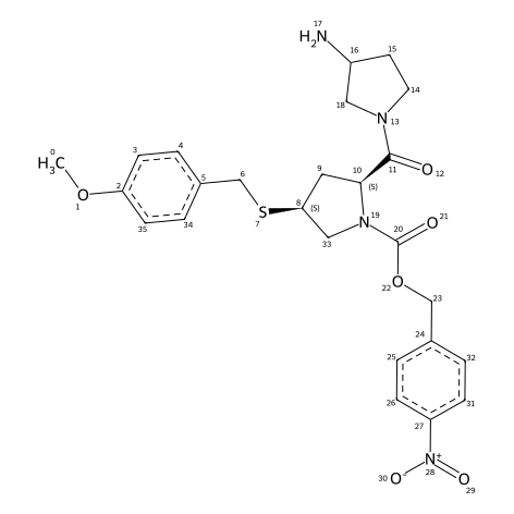 COc1ccc(CS[C@H]2C[C@@H](C(=O)N3CCC(N)C3)N(C(=O)OCc3ccc([N+](=O)[O-])cc3)C2)cc1